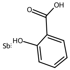 O=C(O)c1ccccc1O.[Sb]